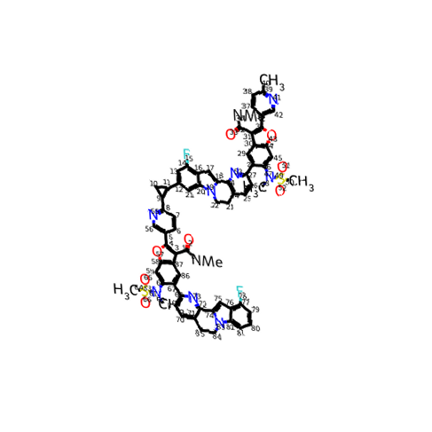 CNC(=O)c1c(-c2ccc(C3CC3c3cc(F)c4cc5n(c4c3)CCc3ccc(-c4cc6c(C(=O)NC)c(-c7ccc(C)nc7)oc6cc4N(C)S(C)(=O)=O)nc3-5)nc2)oc2cc(N(C)S(C)(=O)=O)c(-c3ccc4c(n3)-c3cc5c(F)cccc5n3CC4)cc12